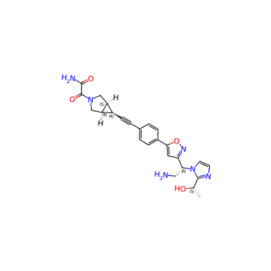 C[C@H](O)c1nccn1[C@H](CN)c1cc(-c2ccc(C#C[C@H]3[C@H]4CN(C(=O)C(N)=O)C[C@@H]34)cc2)on1